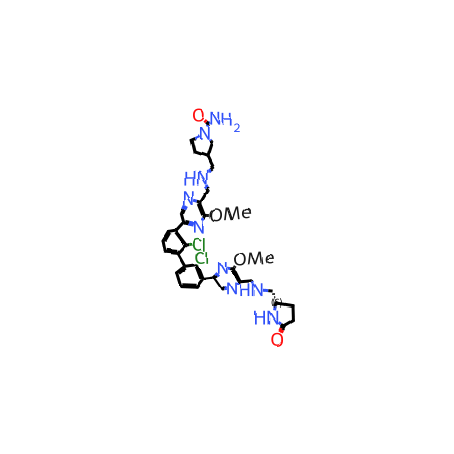 COc1nc(-c2cccc(-c3cccc(-c4cnc(CNC[C@@H]5CCC(=O)N5)c(OC)n4)c3Cl)c2Cl)cnc1CNCC1CCN(C(N)=O)C1